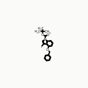 CC(C)(C)OC(=O)n1cc(I)c2c(OCc3ccccc3)cccc21